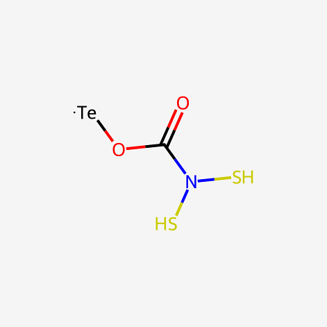 O=C(O[Te])N(S)S